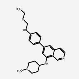 CCOCNc1ccc(-c2cc(NC3CCN(C)CC3)c3cnccc3c2)cc1